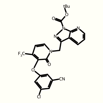 CC(C)(C)OC(=O)n1nc(Cn2ccc(C(F)(F)F)c(Oc3cc(Cl)cc(C#N)c3)c2=O)c2cccnc21